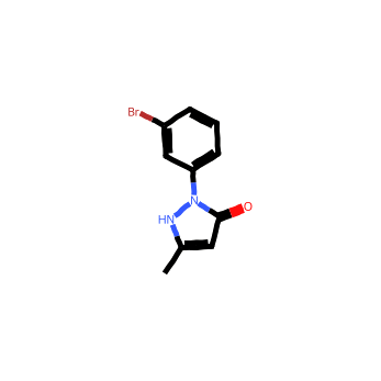 Cc1cc(=O)n(-c2cccc(Br)c2)[nH]1